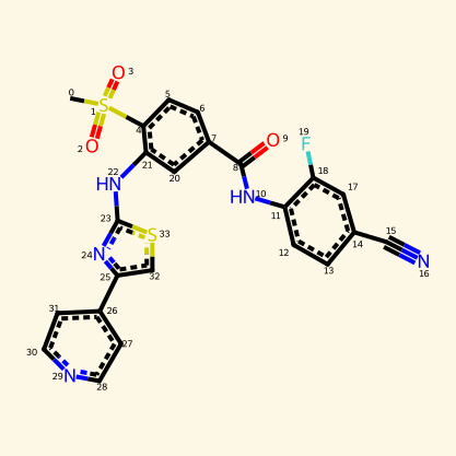 CS(=O)(=O)c1ccc(C(=O)Nc2ccc(C#N)cc2F)cc1Nc1nc(-c2ccncc2)cs1